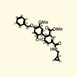 COC(=O)c1nc(C(=O)NCC2CC2)ccc1-c1cc(OC)c(OCc2ccccc2)cc1C=O